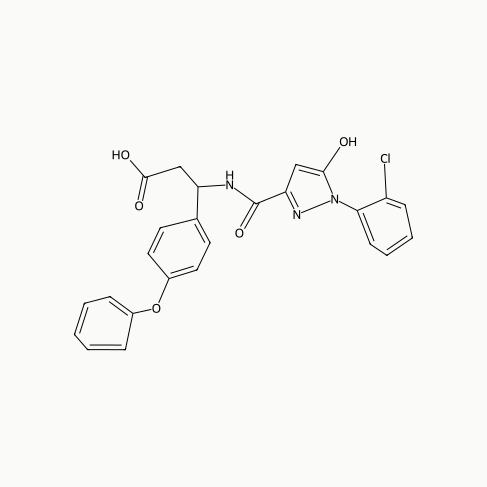 O=C(O)CC(NC(=O)c1cc(O)n(-c2ccccc2Cl)n1)c1ccc(Oc2ccccc2)cc1